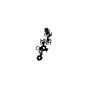 CN(CCC(=O)NNC(=O)C1CC2(CC2)C2CC1C(=O)N2OCc1ccccc1)C(=O)OC(C)(C)C